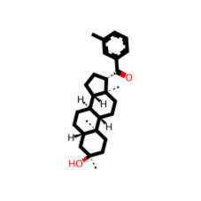 Cc1cccc(C(=O)[C@H]2CC[C@H]3[C@@H]4CC[C@H]5C[C@](C)(O)CC[C@]5(C)[C@H]4CC[C@]23C)c1